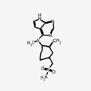 CC1CC(CS(N)(=O)=O)CCC1N(C)c1ncnc2[nH]ccc12